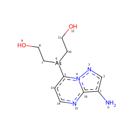 Nc1cnn2c([As](CCO)CCO)ccnc12